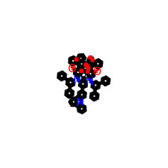 c1ccc(-c2cc(-c3ccccc3)cc(N3c4cc5c(cc4B4c6cc7c(cc6N(c6cc(-c8ccccc8)cc(-c8ccccc8)c6)c6cc(-c8ccc9c(c8)c8cccc%10c%11ccccc%11n9c%108)cc3c64)Oc3ccccc3C73c4ccccc4-c4ccccc43)C3(c4ccccc4O5)c4ccccc4-c4ccccc43)c2)cc1